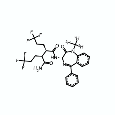 [2H]C([2H])([2H])N1C(=O)[C@@H](NC(=O)[C@H](CCC(F)(F)F)[C@H](CCC(F)(F)F)C(N)=O)N=C(c2ccccc2)c2ccccc21